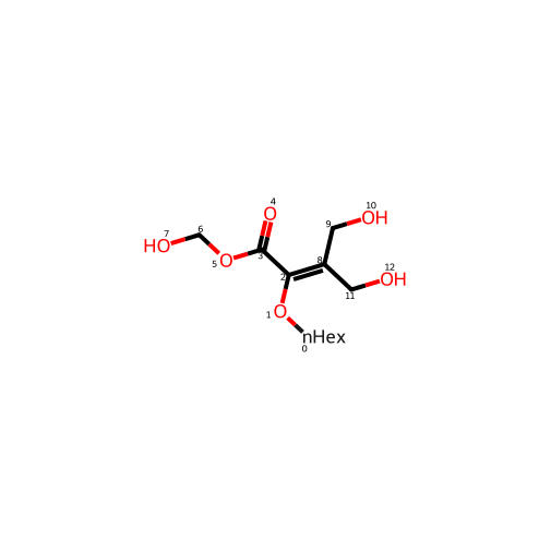 CCCCCCOC(C(=O)OCO)=C(CO)CO